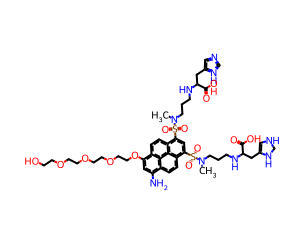 CN(CCCNC(CC1=CNCN1)C(=O)O)S(=O)(=O)c1cc(S(=O)(=O)N(C)CCCNC(Cc2cnc[nH]2)C(=O)O)c2ccc3c(OCCOCCOCCOCCO)cc(N)c4ccc1c2c43